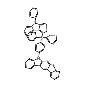 c1ccc(-n2c3ccccc3c3c(S(c4ccccc4)(c4ccccc4)c4ccc(-n5c6ccccc6c6cc7c(cc65)sc5ccccc57)cc4)cccc32)cc1